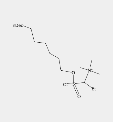 CCCCCCCCCCCCCCCCOS(=O)(=O)C(CC)[N+](C)(C)C